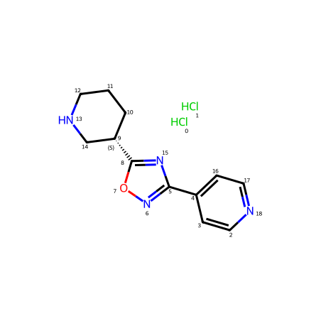 Cl.Cl.c1cc(-c2noc([C@H]3CCCNC3)n2)ccn1